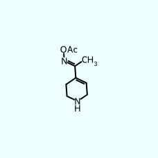 CC(=O)ON=C(C)C1=CCNCC1